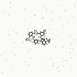 C=CCc1cccc(C)c1OCc1cccc(-c2c3cccc(C(F)(F)F)c3nn2Cc2ccc(Cl)cc2F)c1